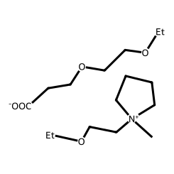 CCOCCOCCC(=O)[O-].CCOCC[N+]1(C)CCCC1